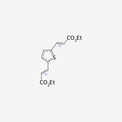 CCOC(=O)/C=C/c1ccc(/C=C/C(=O)OCC)s1